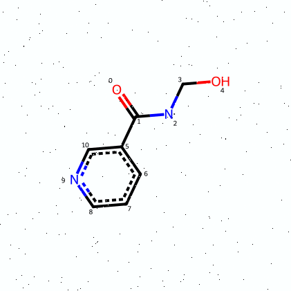 O=C([N]CO)c1cccnc1